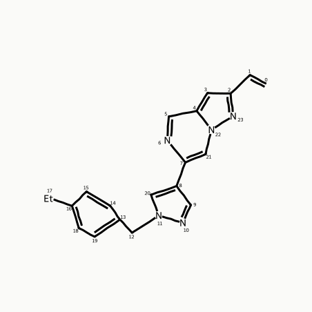 C=Cc1cc2cnc(-c3cnn(Cc4ccc(CC)cc4)c3)cn2n1